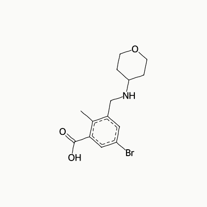 Cc1c(CNC2CCOCC2)cc(Br)cc1C(=O)O